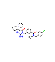 CN(Cc1ccc(Cl)cc1)C(=O)c1cccc(CN2C(=N)NC(c3ccc(F)cc3)(c3ccccn3)C2=O)c1